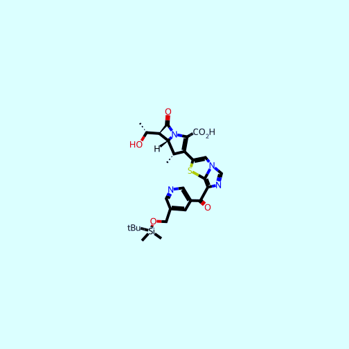 C[C@@H](O)[C@H]1C(=O)N2C(C(=O)O)=C(c3cn4cnc(C(=O)c5cncc(CO[Si](C)(C)C(C)(C)C)c5)c4s3)[C@H](C)[C@H]12